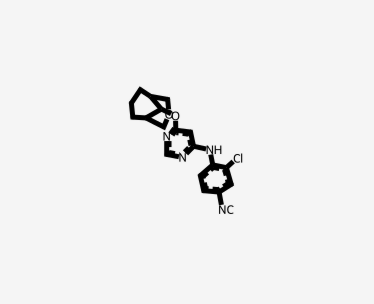 [C-]#[N+]c1ccc(Nc2cc(OC3C4CCCC3COC4)ncn2)c(Cl)c1